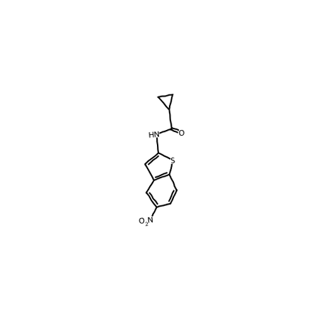 O=C(Nc1cc2cc([N+](=O)[O-])ccc2s1)C1CC1